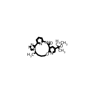 COC(C)(C)c1cnc2c(c1)C(=O)Nc1cccc(n1)-c1nncn1C(C)CCCO2